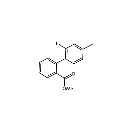 COC(=O)c1ccccc1-c1ccc(F)cc1F